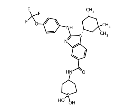 C[C@H]1C[C@@H](n2c(Nc3ccc(OC(F)(F)F)cc3)nc3cc(C(=O)NC4CCS(O)(O)CC4)ccc32)CC(C)(C)C1